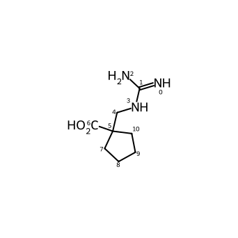 N=C(N)NCC1(C(=O)O)CCCC1